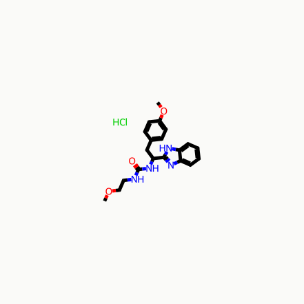 COCCNC(=O)NC(Cc1ccc(OC)cc1)c1nc2ccccc2[nH]1.Cl